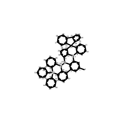 Cc1cc2c3c(c1)N1c4ccccc4C4(c5ccccc5-c5ccccc54)c4cccc(c41)B3N1c3ccccc3[Si](c3ccccc3)(c3ccccc3)c3cccc-2c31